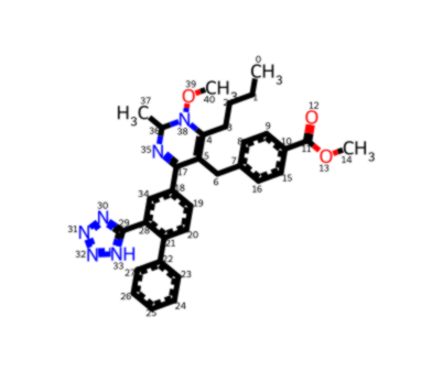 CCCCC1=C(Cc2ccc(C(=O)OC)cc2)C(c2ccc(-c3ccccc3)c(-c3nnn[nH]3)c2)=NC(C)N1OC